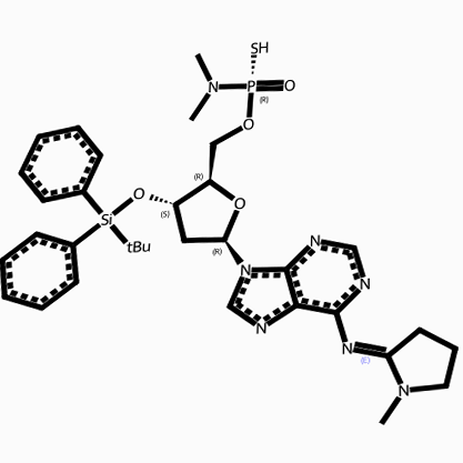 CN1CCC/C1=N\c1ncnc2c1ncn2[C@H]1C[C@H](O[Si](c2ccccc2)(c2ccccc2)C(C)(C)C)[C@@H](CO[P@@](=O)(S)N(C)C)O1